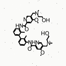 COc1cc(C(=O)Nc2cccc(-c3cccc(NC(=O)c4cc(OC)c(CN(C)CCO)cn4)c3C)c2C)ncc1CN(C)CCO